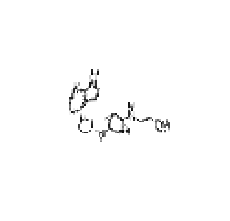 CN(c1cnc(NCCO)cn1)[C@@H]1CCN(c2ncnc3[nH]ccc23)C1